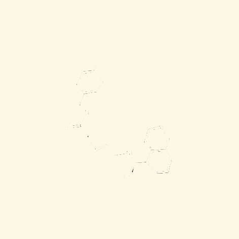 C[C@@H](NC/C=C/C(C)(C)C(=O)NCc1ccc(Cl)cc1)c1cccc2ccccc12